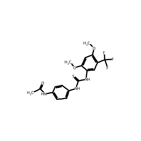 COc1cc(OC)c(C(F)(F)F)cc1NC(=S)Nc1ccc(NC(C)=O)cc1